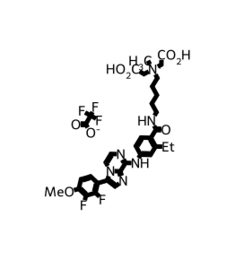 CCc1cc(Nc2nccn3c(-c4ccc(OC)c(F)c4F)cnc23)ccc1C(=O)NCCCCC[N+](C)(CC(=O)O)CC(=O)O.O=C([O-])C(F)(F)F